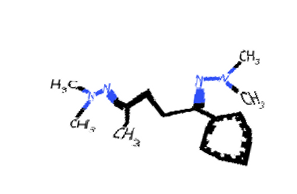 C/C(CC/C(=N/N(C)C)c1ccccc1)=N\N(C)C